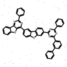 c1ccc(-c2cccc(-c3nc(-c4ccccc4)nc(-c4ccc5c(c4)sc4ccc(-c6nc(-c7ccccc7)nc7c6sc6ccccc67)cc45)n3)c2)cc1